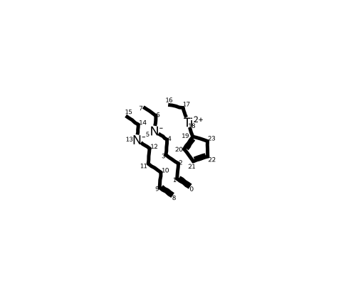 C=CCCC[N-]CC.C=CCCC[N-]CC.C[CH2][Ti+2][C]1=CC=CC1